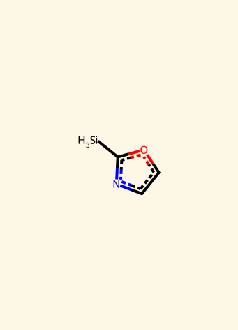 [SiH3]c1ncco1